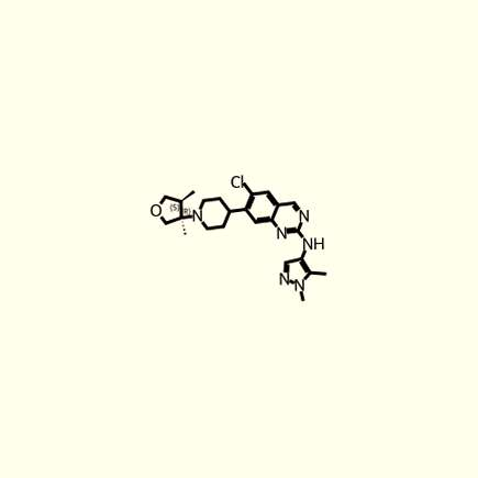 Cc1c(Nc2ncc3cc(Cl)c(C4CCN([C@@]5(C)COC[C@H]5C)CC4)cc3n2)cnn1C